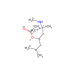 CNC(C)(C)CC(CC(C)C)OC(C)=O